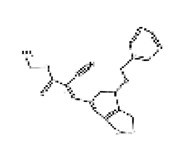 CCOC(=O)/C(C#N)=C/c1cc2c(c(OCc3ccccc3)c1)CCO2